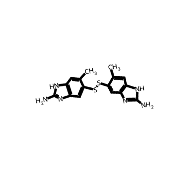 Cc1cc2[nH]c(N)nc2cc1SSc1cc2nc(N)[nH]c2cc1C